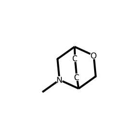 CN1CC2CCC1CO2